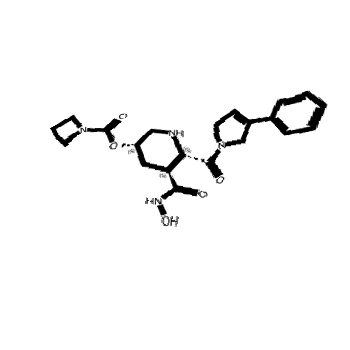 O=C(NO)[C@H]1C[C@H](OC(=O)N2CCC2)CN[C@@H]1C(=O)N1CC=C(c2ccccc2)C1